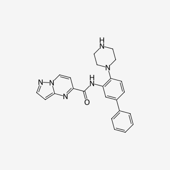 O=C(Nc1cc(-c2ccccc2)ccc1N1CCNCC1)c1ccn2nccc2n1